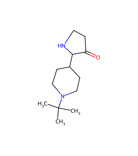 CC(C)(C)N1CCC(C2NCCC2=O)CC1